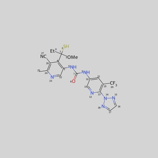 CCC(S)(OC)c1c(NC(=O)Nc2cnc(-n3nccn3)c(C(F)(F)F)c2)cnc(C)c1C#N